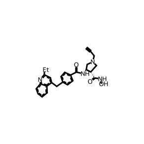 C#CCN1C[C@H](C(=O)NO)[C@H](NC(=O)c2ccc(Cc3cc(CC)nc4ccccc34)cc2)C1